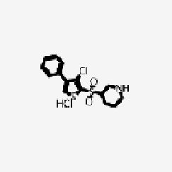 Cl.O=S(=O)(c1scc(-c2ccccc2)c1Cl)C1CCCNC1